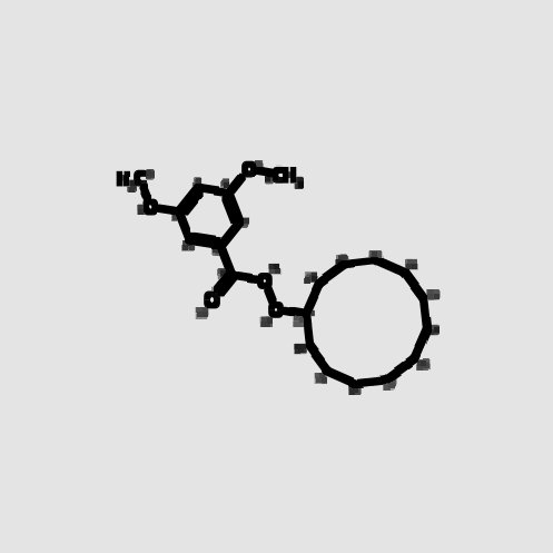 COc1cc(OC)cc(C(=O)OO[C]2CCCCCCCCCCC2)c1